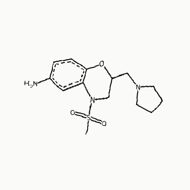 CS(=O)(=O)N1CC(CN2CCCC2)Oc2ccc(N)cc21